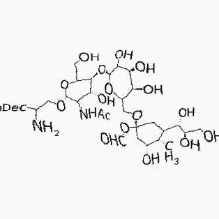 CCCCCCCCCCC(N)CO[C@@H]1OC(CO)[C@@H](O[C@@H]2OC(CO[C@@]3(OC=O)CC([C@H](O)[C@H](O)CO)[C@H](C)[C@H](O)C3)[C@H](O)[C@H](O)C2O)[C@H](O)C1NC(C)=O